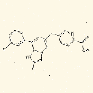 COC(=O)c1ccc(CC2=CN3C=C(C)NC3C(c3cccc(Cl)c3)=C2)cn1